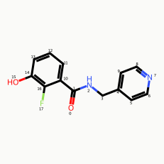 O=C(NCc1ccncc1)c1cccc(O)c1F